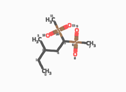 CCC(C)CC(S(C)(=O)=O)S(C)(=O)=O